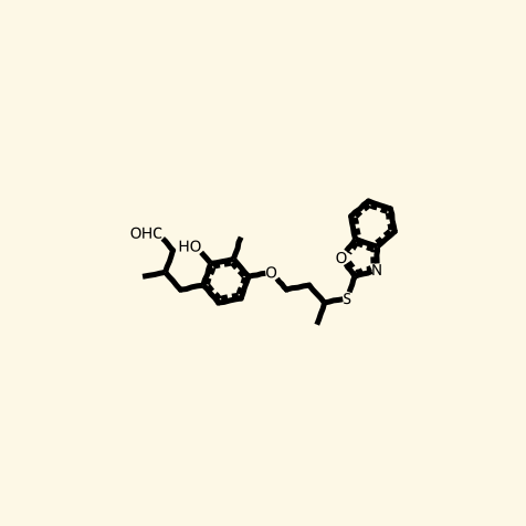 Cc1c(OCCC(C)Sc2nc3ccccc3o2)ccc(CC(C)CC=O)c1O